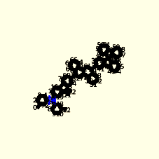 Cc1cccc(N(c2cccc(C)c2)c2ccc3c(c2)C(C)(C)c2cc(-c4cc5c6ccccc6c(-c6ccc7c(c6)-c6ccccc6C7(c6ccccc6)c6ccccc6)cc5c5ccccc45)ccc2-3)c1